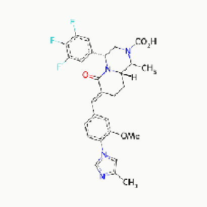 COc1cc(C=C2CC[C@H]3C(C)N(C(=O)O)C[C@@H](c4cc(F)c(F)c(F)c4)N3C2=O)ccc1-n1cnc(C)c1